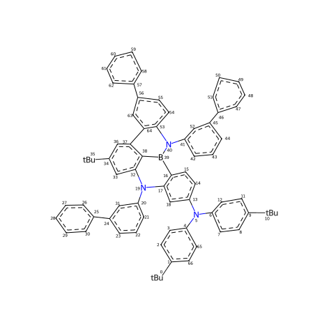 CC(C)(C)c1ccc(N(c2ccc(C(C)(C)C)cc2)c2ccc3c(c2)N(c2cccc(-c4ccccc4)c2)c2cc(C(C)(C)C)cc4c2B3N(c2cccc(-c3ccccc3)c2)c2ccc(-c3ccccc3)cc2-4)cc1